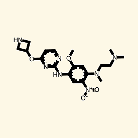 COc1cc(N(C)CCN(C)C)c([N+](=O)[O-])cc1Nc1nccc(OC2CNC2)n1